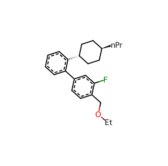 CCC[C@H]1CC[C@H](c2ccccc2-c2ccc(COCC)c(F)c2)CC1